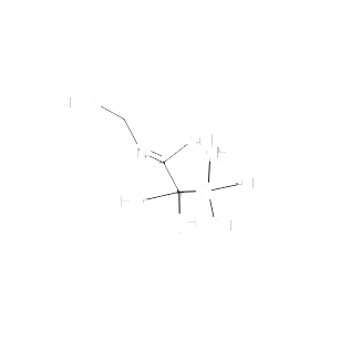 CCN=C([SiH3])C(C)(O)[Si](C)(C)C